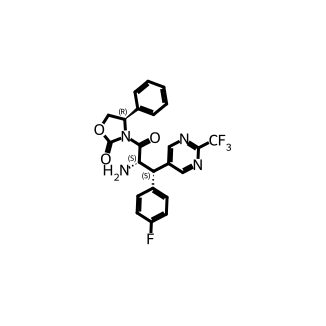 N[C@H](C(=O)N1C(=O)OC[C@H]1c1ccccc1)[C@@H](c1ccc(F)cc1)c1cnc(C(F)(F)F)nc1